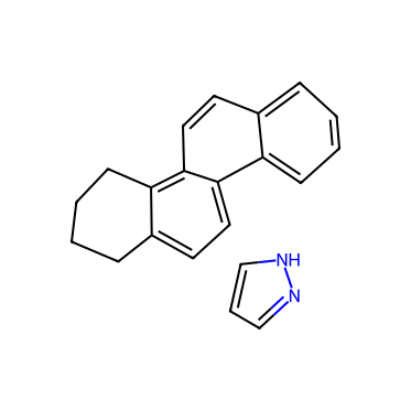 c1ccc2c(c1)ccc1c3c(ccc12)CCCC3.c1cn[nH]c1